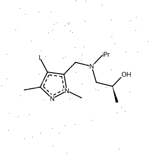 Cc1nn(C)c(CN(C[C@H](C)O)C(C)C)c1I